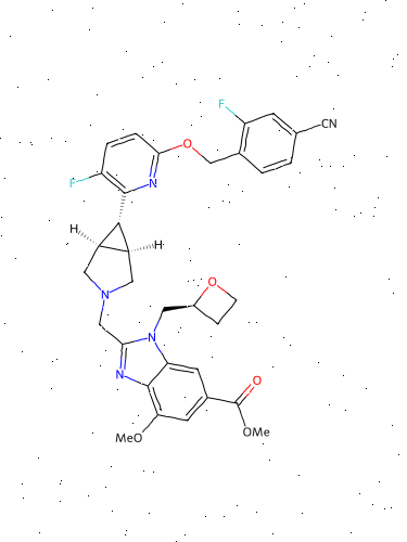 COC(=O)c1cc(OC)c2nc(CN3C[C@@H]4[C@H](C3)[C@H]4c3nc(OCc4ccc(C#N)cc4F)ccc3F)n(C[C@@H]3CCO3)c2c1